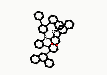 c1ccc(-c2ccc(N(c3ccccc3-c3ccccc3-c3cc4ccccc4c4ccccc34)c3cccc4c3oc3cc5ccccc5cc34)cc2-c2cccc3ccccc23)cc1